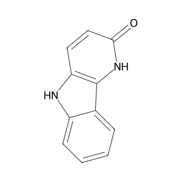 O=c1ccc2[nH]c3ccccc3c2[nH]1